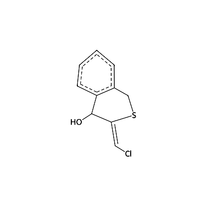 OC1C(=CCl)SCc2ccccc21